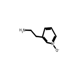 NCCc1ccc[n+]([O-])c1